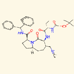 [C-]#[N+]C[C@H]1CC[C@H]2CC[C@@H](C(=O)NC(c3ccccc3)c3ccccc3)N2C(=O)[C@H]1NC(=O)[C@H](CC)NC(=O)OC(C)(C)C